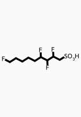 O=S(=O)(O)CC(F)C(F)C(F)CCCCCF